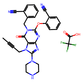 CC#CCn1c(N2CCNCC2)nc2nc(Oc3ccccc3C#N)n(Cc3ccccc3C#N)c(=O)c21.O=C(O)C(F)(F)F